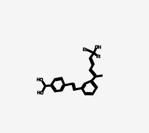 CCC(O)(C=CC=C(C)c1cccc(C=Cc2ccc(C(O)O)cc2)c1)CC